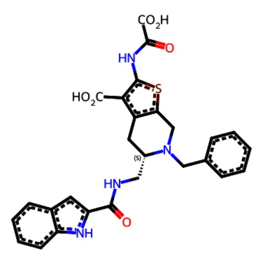 O=C(O)C(=O)Nc1sc2c(c1C(=O)O)C[C@@H](CNC(=O)c1cc3ccccc3[nH]1)N(Cc1ccccc1)C2